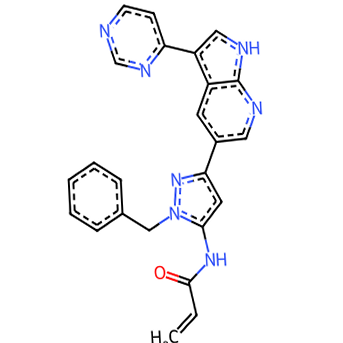 C=CC(=O)Nc1cc(-c2cnc3[nH]cc(-c4ccncn4)c3c2)nn1Cc1ccccc1